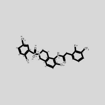 O=C(Cc1cccc(C(F)(F)F)c1F)Nc1c(Cl)ccc2c1CCN(S(=O)(=O)c1cc(C(F)(F)F)ccc1Cl)C2